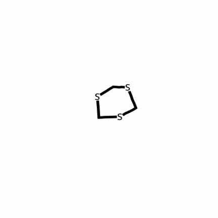 C1SCSCS1